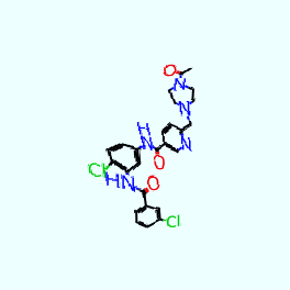 CC(=O)N1CCN(Cc2ccc(C(=O)Nc3ccc(Cl)c(NC(=O)c4cccc(Cl)c4)c3)cn2)CC1